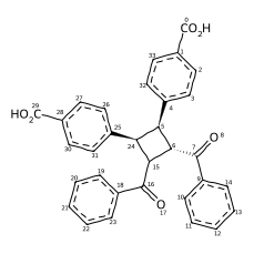 O=C(O)c1ccc([C@H]2[C@H](C(=O)c3ccccc3)C(C(=O)c3ccccc3)[C@H]2c2ccc(C(=O)O)cc2)cc1